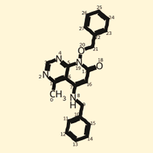 Cc1ncnc2c1c(NCc1ccccc1)cc(=O)n2OCc1ccccc1